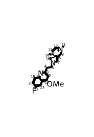 COc1cc(CCN2C=C3CN(C)C=CS3(C)C2)nc2ccc(F)cc12